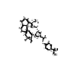 C[C@@H](NC[C@@H]1CN(C(=O)Oc2ccc(C(=O)O)cc2)C[C@@H]1c1cccc(F)c1F)c1cccc2ccccc12